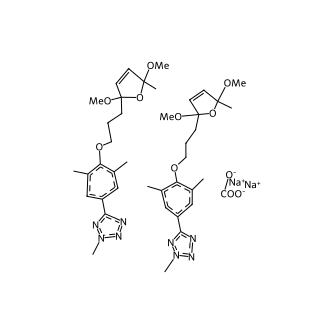 COC1(C)C=CC(CCCOc2c(C)cc(-c3nnn(C)n3)cc2C)(OC)O1.COC1(C)C=CC(CCCOc2c(C)cc(-c3nnn(C)n3)cc2C)(OC)O1.O=C([O-])[O-].[Na+].[Na+]